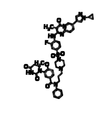 COc1ccc(C(=O)N(CCCN2CCN(S(=O)(=O)c3ccc(Nc4nc5ccc(-c6cnn(C7CC7)c6)cn5c(=O)c4C)c(F)c3)CC2)c2ccccc2)cc1N1CCC(=O)NC1=O